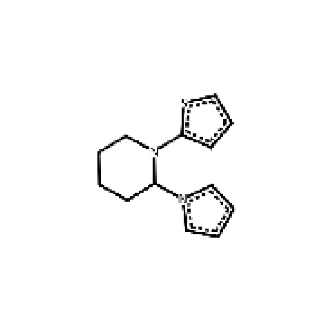 [c]1ccsc1N1CCCCC1n1cccc1